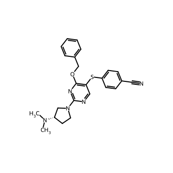 CN(C)[C@H]1CCN(c2ncc(Sc3ccc(C#N)cc3)c(OCc3ccccc3)n2)C1